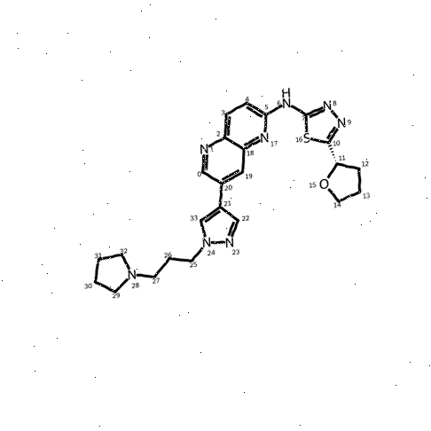 c1nc2ccc(Nc3nnc([C@@H]4CCCO4)s3)nc2cc1-c1cnn(CCCN2CCCC2)c1